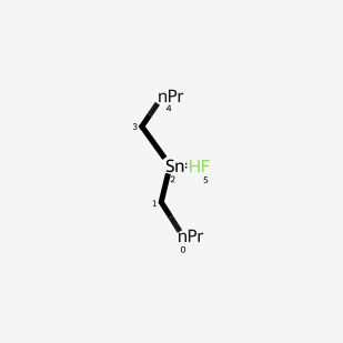 CCC[CH2][Sn][CH2]CCC.F